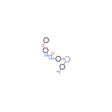 CN(C)c1ccc(C2CCCCN2c2ccc(NC(=O)Nc3ccc(Oc4ccccc4)cc3)cc2)cc1